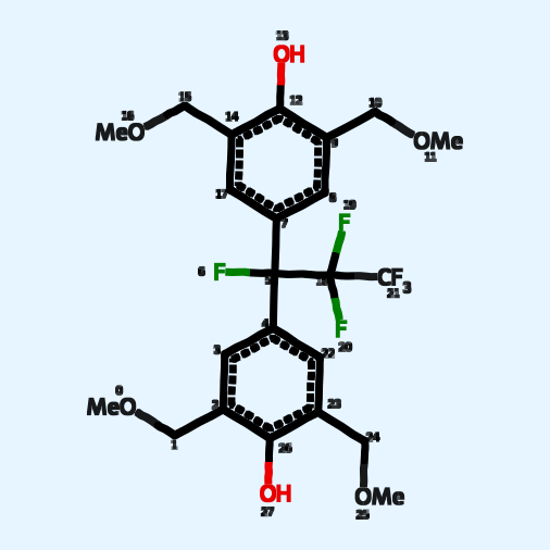 COCc1cc(C(F)(c2cc(COC)c(O)c(COC)c2)C(F)(F)C(F)(F)F)cc(COC)c1O